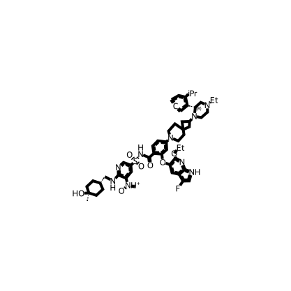 CCOc1nc2[nH]cc(F)c2cc1Oc1cc(N2CCC3(CC2)CC(N2CCN(CC)C[C@H]2c2ccccc2C(C)C)C3)ccc1C(=O)NS(=O)(=O)c1cnc(NC[C@H]2CC[C@](C)(O)CC2)c([NH+](C)[O-])c1